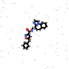 O=C(/N=C/[C@H]1CCc2ccccc2-n2ccnc21)c1cc(Cc2ccccc2)on1